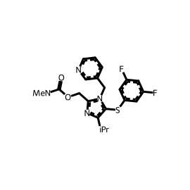 CNC(=O)OCc1nc(C(C)C)c(Sc2cc(F)cc(F)c2)n1Cc1cccnc1